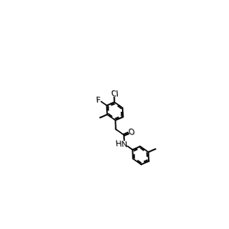 Cc1cccc(NC(=O)Cc2ccc(Cl)c(F)c2C)c1